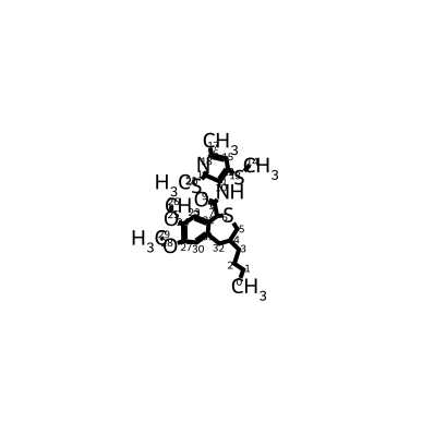 CCCCC1CSC(C(=O)Nc2c(SC)cc(C)nc2SC)c2cc(OC)c(OC)cc2C1